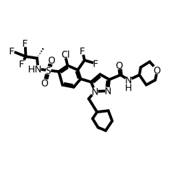 C[C@H](NS(=O)(=O)c1ccc(-c2cc(C(=O)NC3CCOCC3)nn2CC2CCCCC2)c(C(F)F)c1Cl)C(F)(F)F